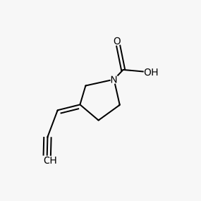 C#C/C=C1\CCN(C(=O)O)C1